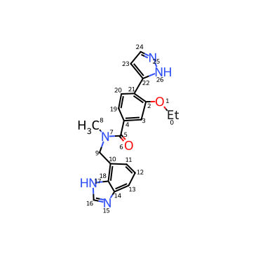 CCOc1cc(C(=O)N(C)Cc2cccc3nc[nH]c23)ccc1-c1ccn[nH]1